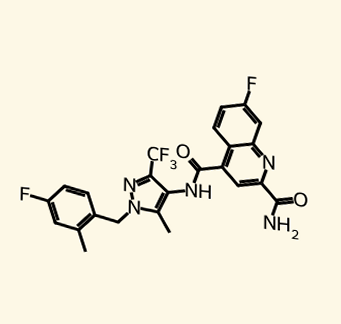 Cc1cc(F)ccc1Cn1nc(C(F)(F)F)c(NC(=O)c2cc(C(N)=O)nc3cc(F)ccc23)c1C